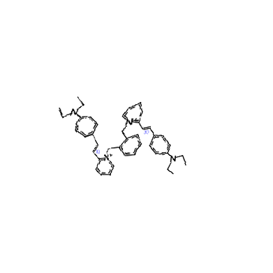 CCN(CC)c1ccc(/C=C/c2cccc[n+]2Cc2ccccc2C[n+]2ccccc2/C=C/c2ccc(N(CC)CC)cc2)cc1